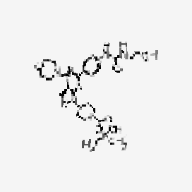 CC(C)(C)OC(=O)N1CCC(n2ncc3c(N4CCOCC4)nc(-c4ccc(NC(=O)NCCO)cc4)nc32)CC1